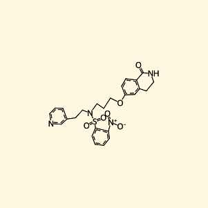 O=C1NCCc2cc(OCCCN(CCc3cccnc3)S(=O)(=O)c3ccccc3[N+](=O)[O-])ccc21